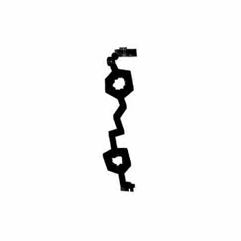 CCCCCCOc1ccc(CCCCc2ccc(CCC)cc2)cc1